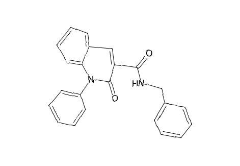 O=C(NCc1ccccc1)c1cc2ccccc2n(-c2ccccc2)c1=O